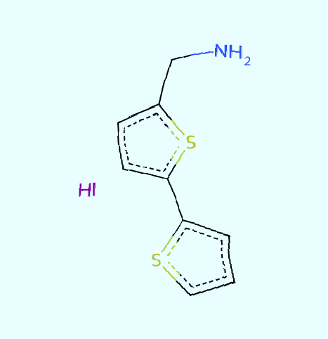 I.NCc1ccc(-c2cccs2)s1